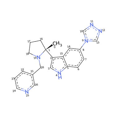 C[C@]1(c2c[nH]c3ccc(-n4cnnc4)cc23)CCCN1Cc1cccnc1